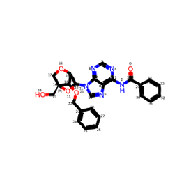 O=C(Nc1ncnc2c1ncn2C1O[C@]2(CO)COC1C2OCc1ccccc1)c1ccccc1